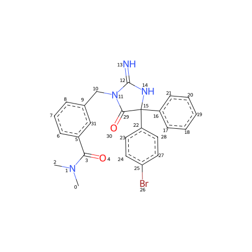 CN(C)C(=O)c1cccc(CN2C(=N)NC(c3ccccc3)(c3ccc(Br)cc3)C2=O)c1